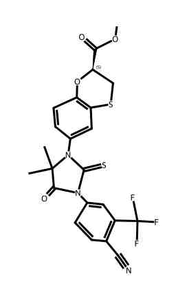 COC(=O)[C@H]1CSc2cc(N3C(=S)N(c4ccc(C#N)c(C(F)(F)F)c4)C(=O)C3(C)C)ccc2O1